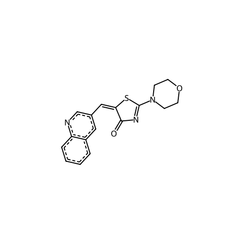 O=C1N=C(N2CCOCC2)SC1=Cc1cnc2ccccc2c1